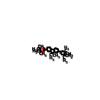 CC1(C)c2cc(B3CC(C)(C)C(C)(C)C3)ccc2-c2ccc(B3OC(C)(C)C(C)(C)O3)cc21